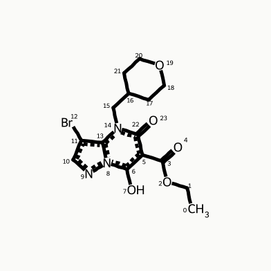 CCOC(=O)c1c(O)n2ncc(Br)c2n(CC2CCOCC2)c1=O